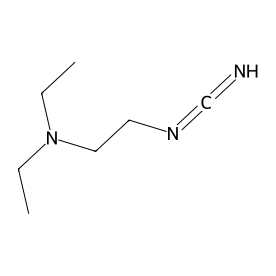 CCN(CC)CCN=C=N